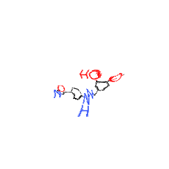 COc1ccc(/C=N/Nc2ccc(-c3cnco3)cc2)cc1O